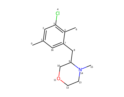 Cc1cc(Cl)c(C)c(CC2COCCN2C)c1